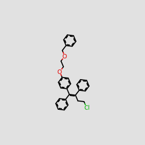 ClCC/C(=C(\c1ccccc1)c1ccc(OCCOCc2ccccc2)cc1)c1ccccc1